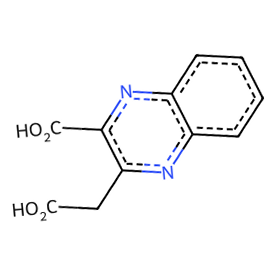 O=C(O)Cc1nc2ccccc2nc1C(=O)O